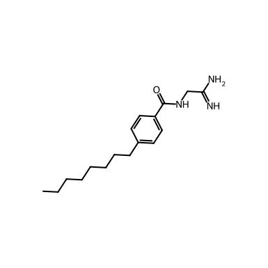 CCCCCCCCc1ccc(C(=O)NCC(=N)N)cc1